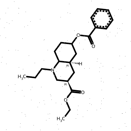 CCCN1C[C@H](C(=O)OCC)C[C@@H]2CC(OC(=O)c3ccccc3)CCC21